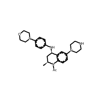 CC(=O)N1c2ccc(N3CCNCC3)cc2[C@H](Nc2ccc(N3CCOCC3)cc2)C[C@@H]1C